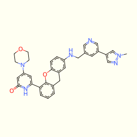 Cn1cc(-c2cncc(CNc3ccc4c(c3)Cc3cccc(-c5cc(N6CCOCC6)cc(=O)[nH]5)c3O4)c2)cn1